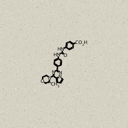 C[C@@H]1COCCN1c1nc(-c2ccc(NC(=O)Nc3ccc(C(=O)O)cc3)cc2)nn2cccc12